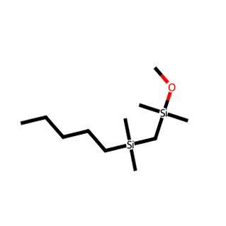 CCCCC[Si](C)(C)C[Si](C)(C)OC